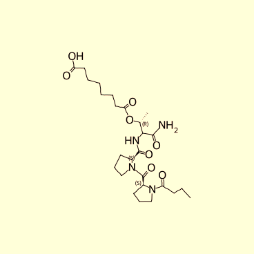 CCCC(=O)N1CCC[C@H]1C(=O)N1CCC[C@H]1C(=O)NC(C(N)=O)[C@@H](C)OC(=O)CCCCCCC(=O)O